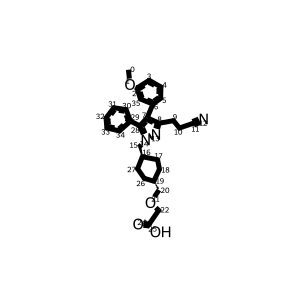 COc1cccc(-c2c(CCC#N)nn(C[C@H]3CC[C@H](COCC(=O)O)CC3)c2-c2ccccc2)c1